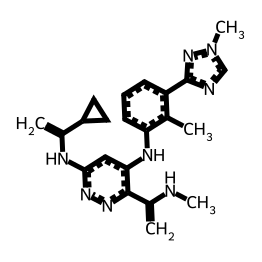 C=C(NC)c1nnc(NC(=C)C2CC2)cc1Nc1cccc(-c2ncn(C)n2)c1C